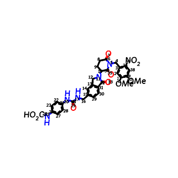 COc1cc(CN2C(=O)CCC(N3Cc4cc(CNC(=O)Nc5ccc(NC(=O)O)cc5)ccc4C3=O)C2=O)c([N+](=O)[O-])cc1OC